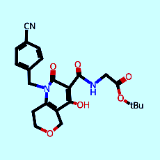 CC(C)(C)OC(=O)CNC(=O)c1c(O)c2c(n(Cc3ccc(C#N)cc3)c1=O)CCOC2